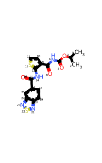 CC(C)OC(=O)NC(=O)c1ccsc1NC(=O)c1ccc2nsnc2c1